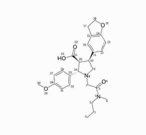 CCCN(C)C(=O)CN1C[C@H](c2ccc3c(c2)CCO3)[C@H](C(=O)O)[C@H]1c1ccc(OC)cc1